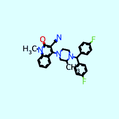 CC1CN(c2c(C#N)c(=O)n(C)c3ccccc23)CCN1C(c1ccc(F)cc1)c1ccc(F)cc1